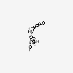 O=C1NC(=O)C(N(CC#Cc2ccc(F)cc2)c2ccc(CCNC[C@H](O)COc3ccc(OCc4ccccc4)cc3)cc2)S1